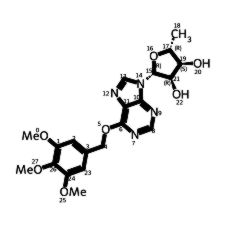 COc1cc(COc2ncnc3c2ncn3[C@@H]2O[C@H](C)[C@@H](O)[C@H]2O)cc(OC)c1OC